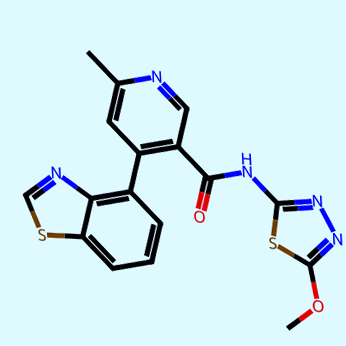 COc1nnc(NC(=O)c2cnc(C)cc2-c2cccc3scnc23)s1